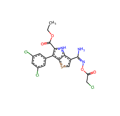 CCOC(=O)c1[nH]c2c(/C(N)=N\OC(=O)CCl)csc2c1-c1cc(Cl)cc(Cl)c1